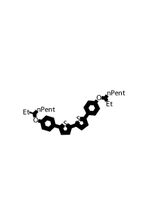 CCCCCC(CC)Oc1ccc(-c2ccc(-c3ccc(-c4ccc(O[C@@H](CC)CCCCC)cc4)s3)s2)cc1